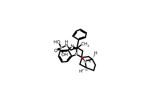 Cc1nc2ccccc2n1C1C[C@H]2CC[C@@H](C1)N2CCC(CNP(=O)(O)O)c1ccccc1